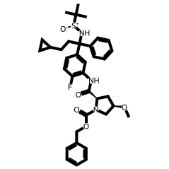 CO[C@@H]1C[C@H](C(=O)Nc2cc(C(CCC3CC3)(N[S@+]([O-])C(C)(C)C)c3ccccc3)ccc2F)N(C(=O)OCc2ccccc2)C1